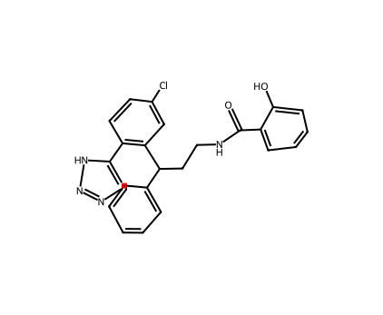 O=C(NCCC(c1ccccc1)c1cc(Cl)ccc1-c1nnn[nH]1)c1ccccc1O